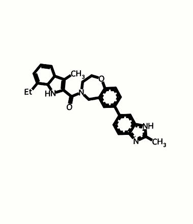 CCC1=CC=CC2C(C)=C(C(=O)N3CCOc4ccc(-c5ccc6nc(C)[nH]c6c5)cc4C3)NC12